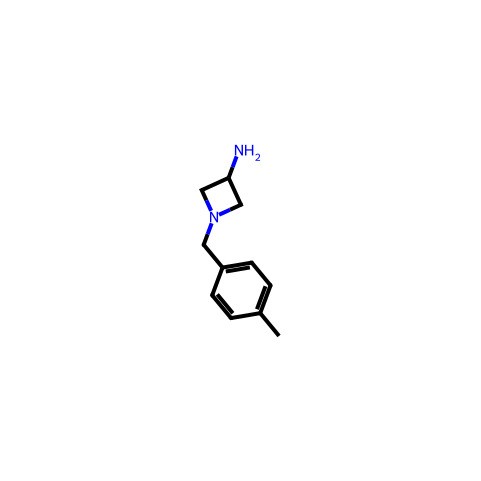 Cc1ccc(CN2CC(N)C2)cc1